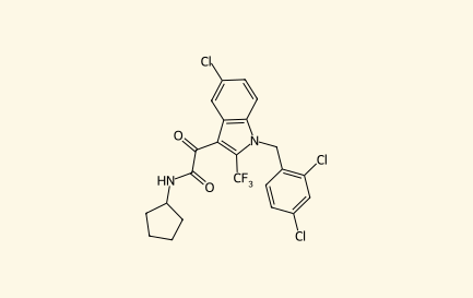 O=C(NC1CCCC1)C(=O)c1c(C(F)(F)F)n(Cc2ccc(Cl)cc2Cl)c2ccc(Cl)cc12